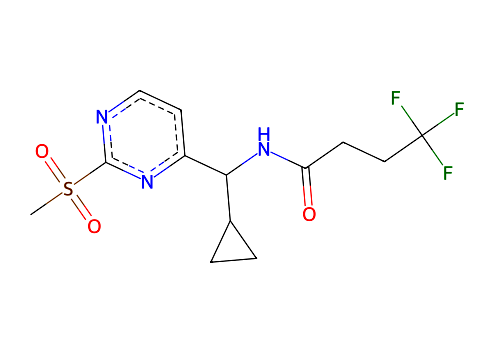 CS(=O)(=O)c1nccc(C(NC(=O)CCC(F)(F)F)C2CC2)n1